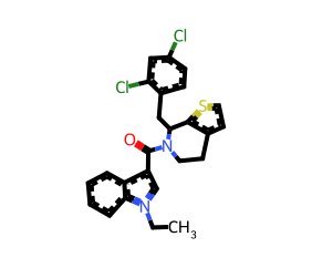 CCn1cc(C(=O)N2CCc3ccsc3C2Cc2ccc(Cl)cc2Cl)c2ccccc21